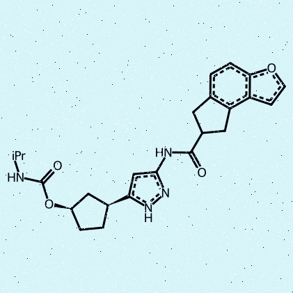 CC(C)NC(=O)O[C@@H]1CC[C@H](c2cc(NC(=O)C3Cc4ccc5occc5c4C3)n[nH]2)C1